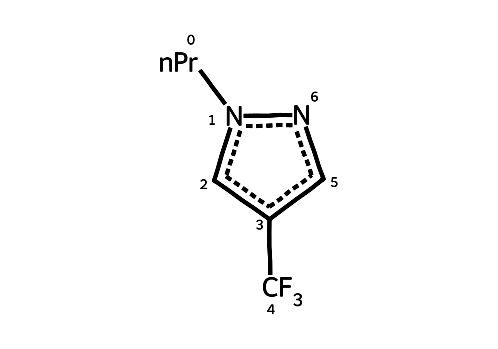 CCCn1cc(C(F)(F)F)cn1